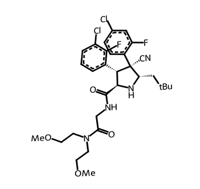 COCCN(CCOC)C(=O)CNC(=O)[C@@H]1N[C@@H](CC(C)(C)C)[C@](C#N)(c2ccc(Cl)cc2F)[C@H]1c1cccc(Cl)c1F